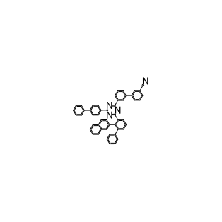 N#Cc1cccc(-c2cccc(-c3nc(-c4ccc(-c5ccccc5)cc4)nc(-c4cccc(-c5ccccc5)c4-c4ccc5ccccc5c4)n3)c2)c1